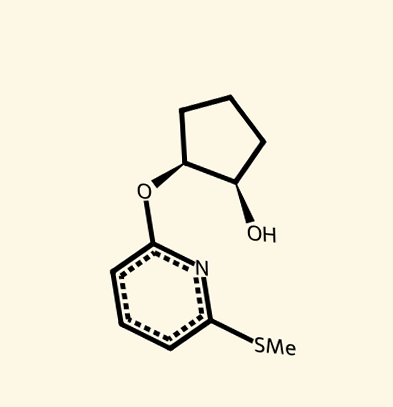 CSc1cccc(O[C@H]2CCC[C@H]2O)n1